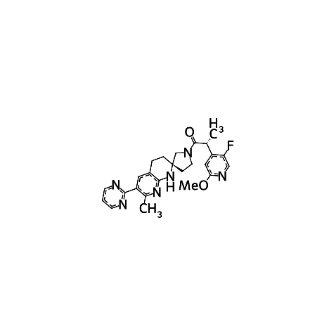 COc1cc([C@@H](C)C(=O)N2CC[C@@]3(CCc4cc(-c5ncccn5)c(C)nc4N3)C2)c(F)cn1